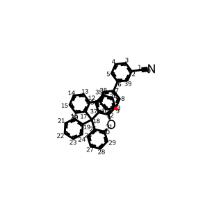 N#Cc1cccc(-c2cccc(-c3ccccc3C3(c4ccccc4)c4ccccc4Oc4ccccc43)c2)c1